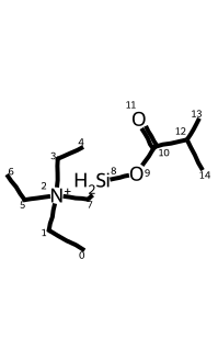 CC[N+](CC)(CC)C[SiH2]OC(=O)C(C)C